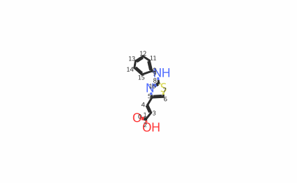 O=C(O)/C=C/c1csc(Nc2ccccc2)n1